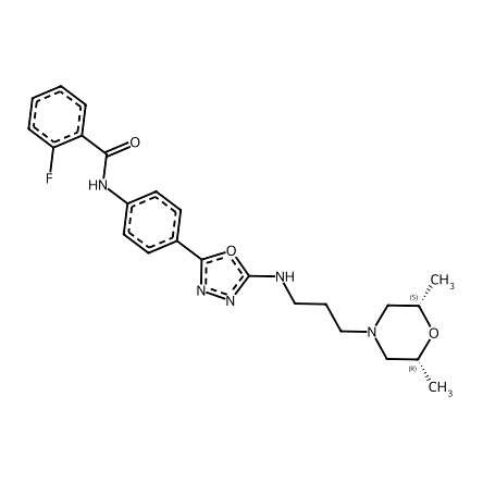 C[C@@H]1CN(CCCNc2nnc(-c3ccc(NC(=O)c4ccccc4F)cc3)o2)C[C@H](C)O1